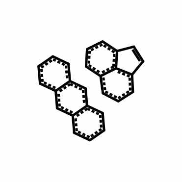 C1=Cc2cccc3cccc1c23.c1ccc2cc3ccccc3cc2c1